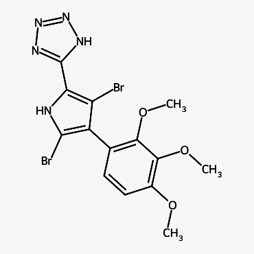 COc1ccc(-c2c(Br)[nH]c(-c3nnn[nH]3)c2Br)c(OC)c1OC